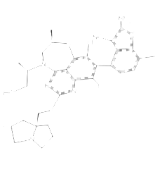 C[C@@H]1CN([C@H](C)CO)c2nc(OC[C@@]34CCCN3C[C@H](F)C4)nc3c(F)c(-c4ccc(F)c5sc(N)c(C#N)c45)c(Cl)c(c23)O1